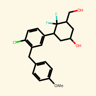 COc1ccc(Cc2cc(C3CC(O)CC(CO)C3(F)F)ccc2Cl)cc1